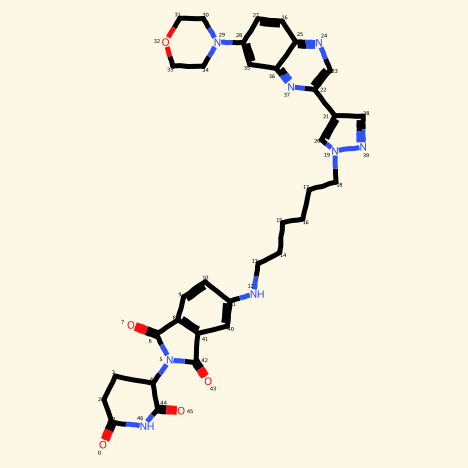 O=C1CCC(N2C(=O)c3ccc(NCCCCCCn4cc(-c5cnc6ccc(N7CCOCC7)cc6n5)cn4)cc3C2=O)C(=O)N1